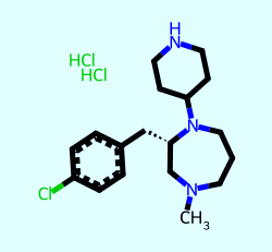 CN1CCCN(C2CCNCC2)[C@@H](Cc2ccc(Cl)cc2)C1.Cl.Cl